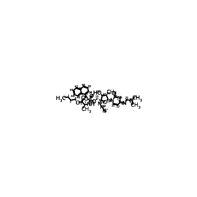 CCCCOC(=O)[C@H](C)NP(=O)(OC[C@@]1(N=[N+]=[N-])O[C@@H](n2ccc(/N=C/N(C)C)nc2=O)[C@@H](C)[C@@H]1O)Oc1cccc2ccccc12